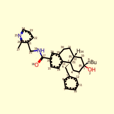 CCCC[C@@]1(O)CC[C@@]2(Cc3ccccc3)c3ccc(C(=O)NCc4cccnc4C)cc3CC[C@@H]2C1